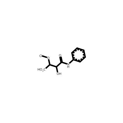 O=C(Nc1ccccc1)C(O)C(OCl)C(=O)O